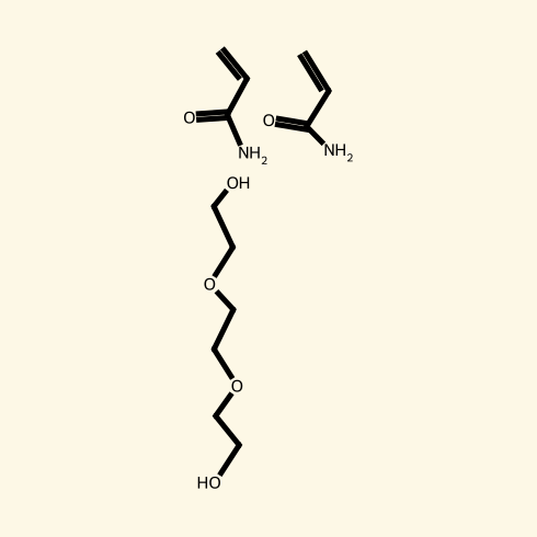 C=CC(N)=O.C=CC(N)=O.OCCOCCOCCO